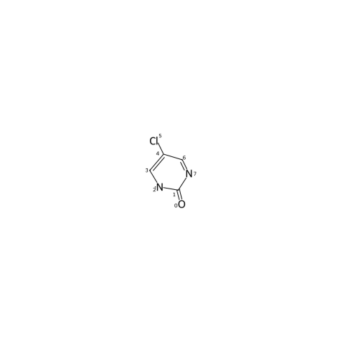 O=C1[N]C=C(Cl)C=N1